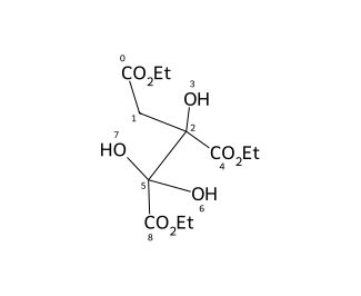 CCOC(=O)CC(O)(C(=O)OCC)C(O)(O)C(=O)OCC